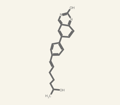 CC(O)CCC/C=C/c1ccc(-c2ccc3nc(O)ncc3c2)cc1